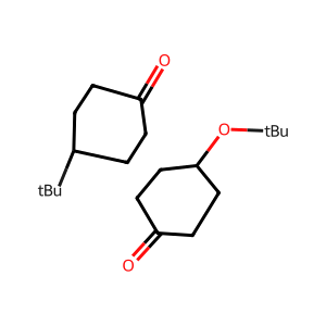 CC(C)(C)C1CCC(=O)CC1.CC(C)(C)OC1CCC(=O)CC1